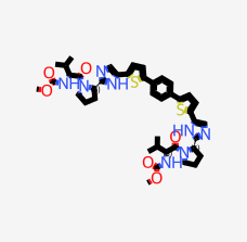 COC(=O)NC(C(=O)N1CCC[C@H]1c1ncc(-c2ccc(-c3ccc(-c4ccc(-c5cnc([C@@H]6CCCN6C(=O)[C@@H](NC(=O)OC)C(C)C)[nH]5)s4)cc3)s2)[nH]1)C(C)C